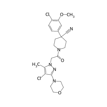 COc1cc(C2(C#N)CCN(C(=O)Cn3nc(N4CCOCC4)c(Cl)c3C)CC2)ccc1Cl